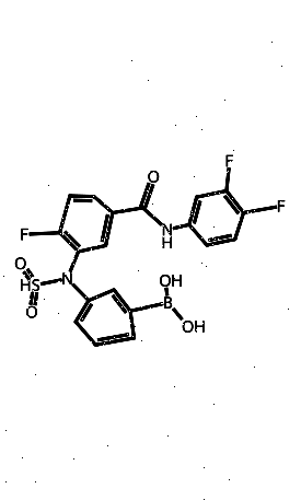 O=C(Nc1ccc(F)c(F)c1)c1ccc(F)c(N(c2cccc(B(O)O)c2)[SH](=O)=O)c1